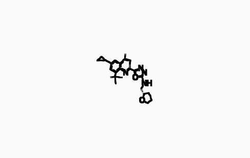 Cc1cc(-c2nnc(NC[C@@H]3CCCO3)o2)nc2c(C(C)(C)C)cc(C3CC3)cc12